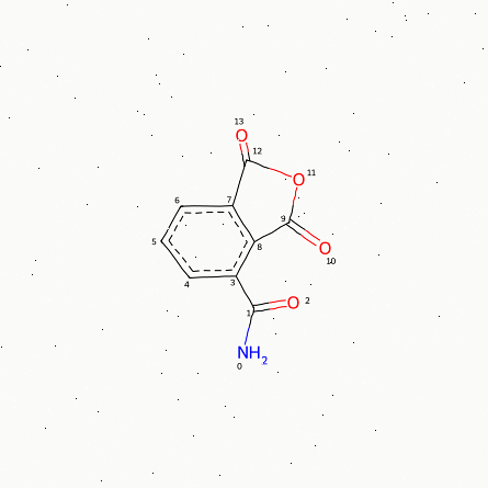 NC(=O)c1cccc2c1C(=O)OC2=O